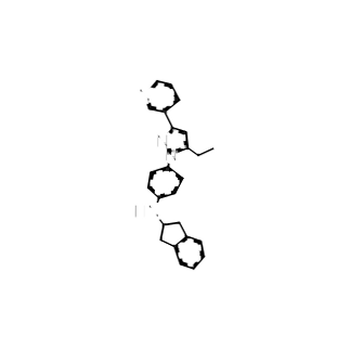 CCc1cc(-c2cccnc2)nn1-c1ccc(NC2Cc3ccccc3C2)cc1